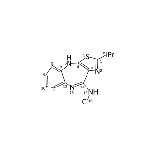 CC(C)c1nc2c(s1)Nc1ccccc1N=C2NCl